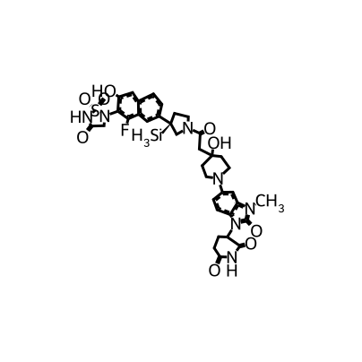 Cn1c(=O)n(C2CCC(=O)NC2=O)c2ccc(N3CCC(O)(CC(=O)N4CC[C@@]([SiH3])(c5ccc6cc(O)c(N7CC(=O)NS7(=O)=O)c(F)c6c5)C4)CC3)cc21